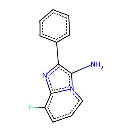 Nc1c(-c2ccccc2)nc2c(F)cccn12